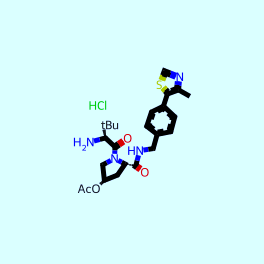 CC(=O)O[C@@H]1C[C@@H](C(=O)NCc2ccc(-c3scnc3C)cc2)N(C(=O)[C@@H](N)C(C)(C)C)C1.Cl